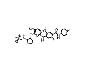 COc1cc(C(=O)NC2CCN(C)CC2)c(F)cc1Nc1ncc(Cl)c(O[C@@H]2CCC[C@H]2NCS(C)(=O)=O)n1